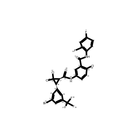 O=C(Nc1ccc(F)cc1F)c1cc(NC(=O)[C@H]2[C@H](c3cc(Br)cc(C(F)(F)F)c3)C2(Cl)Cl)ccc1Cl